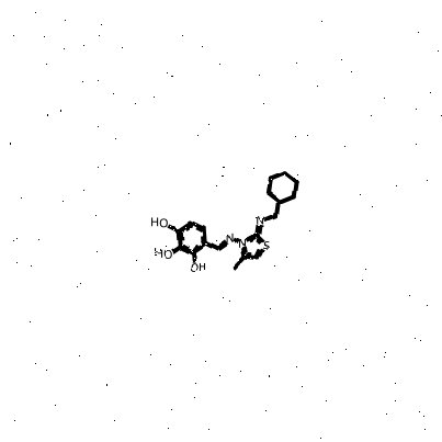 Cc1cs/c(=N\CC2CCCCC2)n1/N=C/c1ccc(O)c(O)c1O